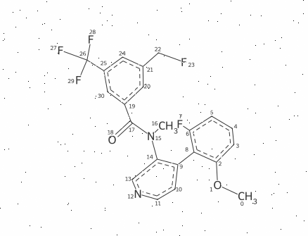 COc1cccc(F)c1-c1ccncc1N(C)C(=O)c1cc(CF)cc(C(F)(F)F)c1